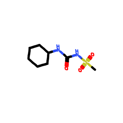 CS(=O)(=O)NC(=O)NC1CCCCC1